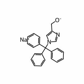 [Na+].[O-]Cc1cn(C(c2ccccc2)(c2ccccc2)c2ccccc2)cn1